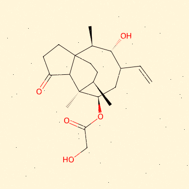 C=CC1C[C@@H](OC(=O)CO)[C@@]2(C)C3C(=O)CCC3(CC[C@H]2C)[C@@H](C)[C@@H]1O